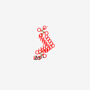 O.O.O.O.O.O.O.O.O=S(=O)(O)O.O=S(=O)([O-])[O-].[Zn+2]